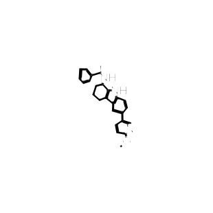 COc1ccc(-c2ccc3[nH]c4c(c3c2)CCCC4N[C@H](C)c2ccccc2)cn1